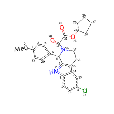 COc1ccc(C2c3[nH]c4ccc(Cl)cc4c3CCN2C(=O)C(=O)OC2CCCC2)cc1